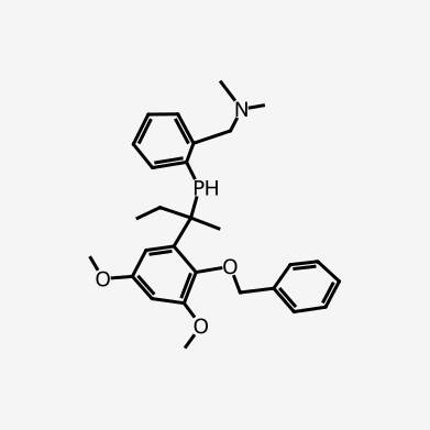 CCC(C)(Pc1ccccc1CN(C)C)c1cc(OC)cc(OC)c1OCc1ccccc1